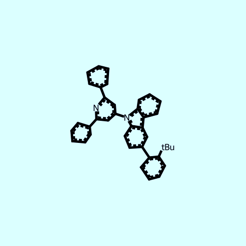 CC(C)(C)c1ccccc1-c1ccc2c(c1)c1ccccc1n2-c1cc(-c2ccccc2)nc(-c2ccccc2)c1